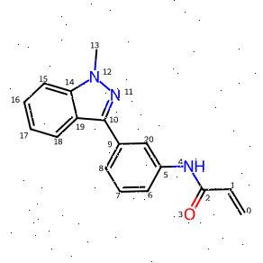 C=CC(=O)Nc1cccc(-c2nn(C)c3ccccc23)c1